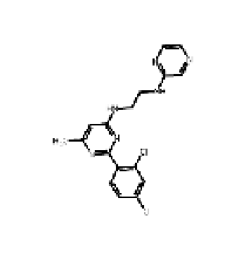 Cc1cc(NCCNc2cnccn2)nc(-c2ccc(Cl)cc2Cl)n1